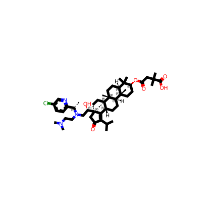 CC(C)C1=C2[C@H]3CC[C@@H]4[C@@]5(C)CC[C@H](OC(=O)CC(C)(C)C(=O)O)C(C)(C)[C@@H]5CC[C@@]4(C)[C@]3(C)CC[C@@]2([C@@H](O)CN(CCN(C)C)[C@@H](C)c2ccc(Cl)cn2)CC1=O